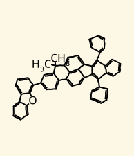 CC1(C)c2cc(-c3cccc4c3oc3ccccc34)ccc2-c2ccc3c4c(ccc1c24)-c1c-3c(-c2ccccc2)c2ccccc2c1-c1ccccc1